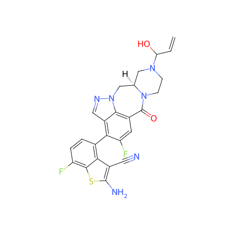 C=CC(O)N1CCN2C(=O)c3cc(F)c(-c4ccc(F)c5sc(N)c(C#N)c45)c4cnn(c34)C[C@H]2C1